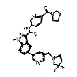 O=C(NC1C=CC(C(=O)N2CCCC2)=NC1)c1n[nH]c2ccc(-c3cncc(CN4CCC(F)(F)C4)c3)cc12